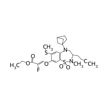 CCCCC1CN(C23CCC(C2)C3)c2cc(SC)c(O/C=C(\F)C(=O)OCC)cc2S(=O)(=O)N1C